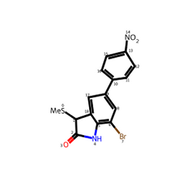 CSC1C(=O)Nc2c(Br)cc(-c3ccc([N+](=O)[O-])cc3)cc21